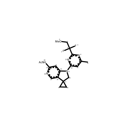 COCC(F)(F)c1nc(C)cc(N2CC3(CC3)c3cnc(NC(C)=O)cc32)n1